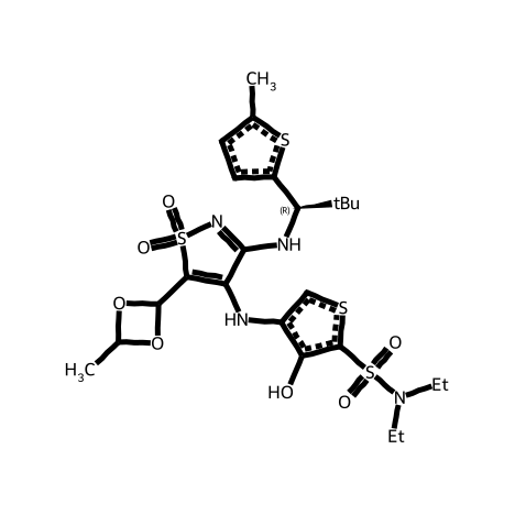 CCN(CC)S(=O)(=O)c1scc(NC2=C(C3OC(C)O3)S(=O)(=O)N=C2N[C@@H](c2ccc(C)s2)C(C)(C)C)c1O